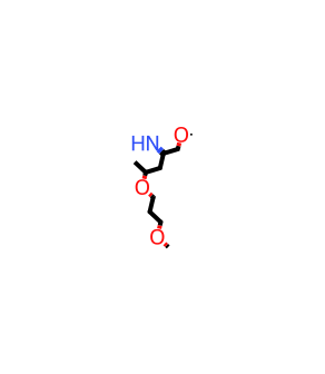 COCCCOC(C)CC(=N)C[O]